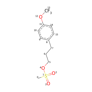 CS(=O)(=O)OCCCc1ccc(OC(F)(F)F)cc1